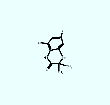 CCc1cc(F)cc2c1NC(=O)C(C)(C)N2